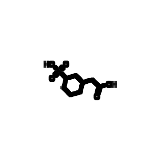 O=C(O)CC1CC[CH]C(S(=O)(=O)O)C1